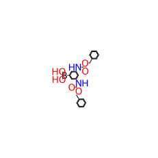 O=C(Nc1cc(NC(=O)OCc2ccccc2)cc(B(O)O)c1)OCc1ccccc1